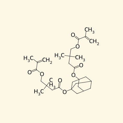 C=C(C)C(=O)OCC(C)(C)CC(=O)OC12CC3CC(C1)CC(OC(=O)CC(C)(C)COC(=O)C(=C)C)(C3)C2